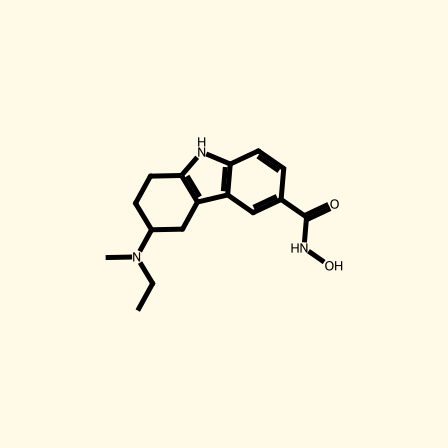 CCN(C)C1CCc2[nH]c3ccc(C(=O)NO)cc3c2C1